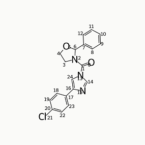 O=C(N1CCOC1c1ccccc1)n1cnc(-c2ccc(Cl)cc2)c1